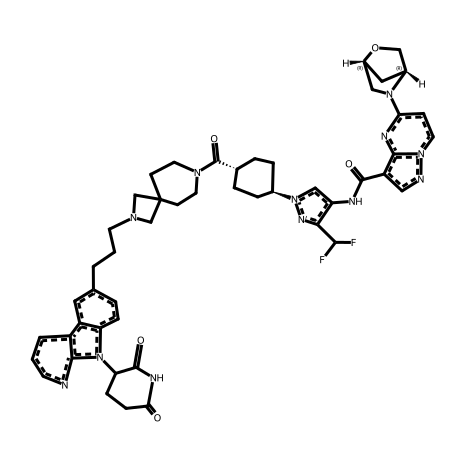 O=C1CCC(n2c3ccc(CCCN4CC5(CCN(C(=O)[C@H]6CC[C@H](n7cc(NC(=O)c8cnn9ccc(N%10C[C@H]%11C[C@@H]%10CO%11)nc89)c(C(F)F)n7)CC6)CC5)C4)cc3c3cccnc32)C(=O)N1